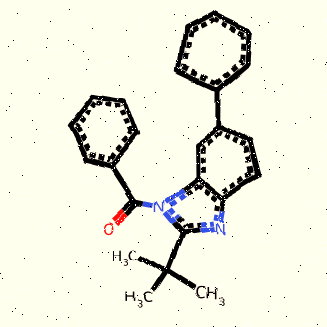 CC(C)(C)c1nc2ccc(-c3ccccc3)cc2n1C(=O)c1ccccc1